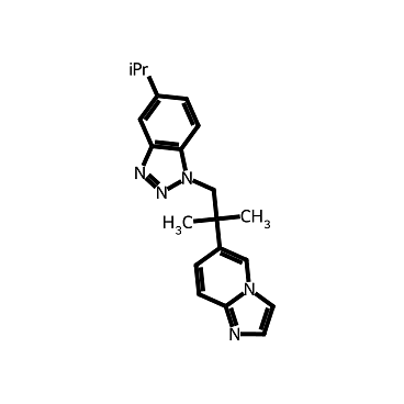 CC(C)c1ccc2c(c1)nnn2CC(C)(C)c1ccc2nccn2c1